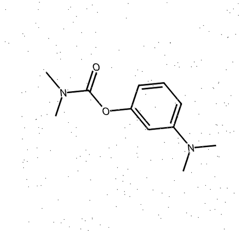 CN(C)C(=O)Oc1cccc(N(C)C)c1